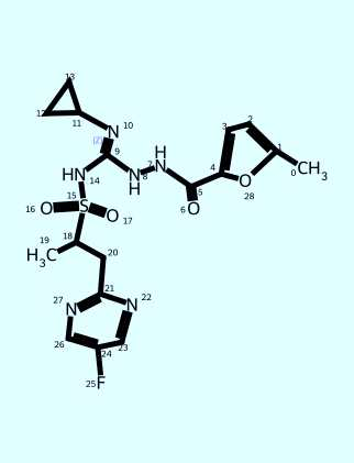 Cc1ccc(C(=O)NN/C(=N/C2CC2)NS(=O)(=O)C(C)Cc2ncc(F)cn2)o1